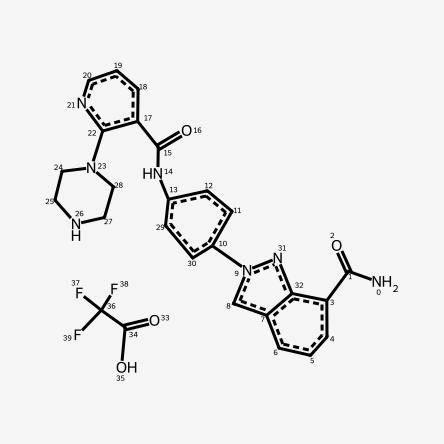 NC(=O)c1cccc2cn(-c3ccc(NC(=O)c4cccnc4N4CCNCC4)cc3)nc12.O=C(O)C(F)(F)F